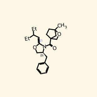 CCC(/C=C1\OC[C@H](Cc2ccccc2)N1C(=O)C12CCC(C)(C1)OC2)CC